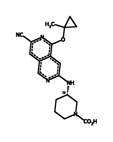 CC1(Oc2nc(C#N)cc3cnc(N[C@H]4CCCN(C(=O)O)C4)cc23)CC1